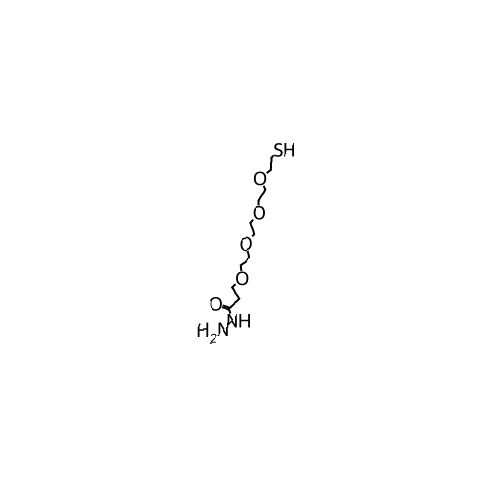 NNC(=O)CCOCCOCCOCCOCCS